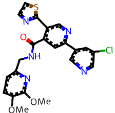 COc1ccc(CNC(=O)c2cc(-c3cncc(Cl)c3)ncc2-c2nccs2)nc1OC